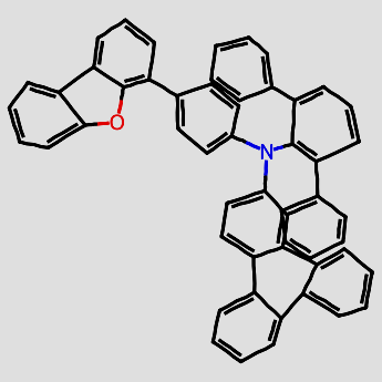 c1ccc(-c2cccc(-c3ccccc3)c2N(c2ccc(-c3cccc4c3oc3ccccc34)cc2)c2ccc3c4ccccc4c4ccccc4c3c2)cc1